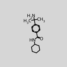 CC(C)(N)c1ccc(C(=O)NC2CCCCC2)cc1